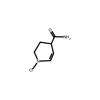 NC(=O)C1C=CN(Cl)CC1